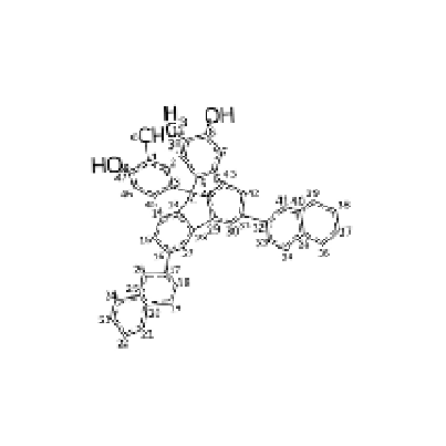 Cc1cc(C2(c3ccc(O)c(C)c3)c3ccc(-c4ccc5ccccc5c4)cc3-c3cc(-c4ccc5ccccc5c4)ccc32)ccc1O